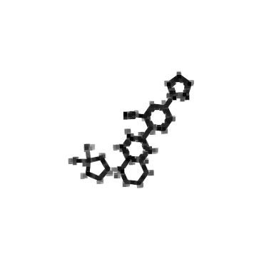 Oc1cc(-n2cccn2)ccc1-c1nnc2c(n1)CCCN2[C@@H]1CCC(F)(F)C1